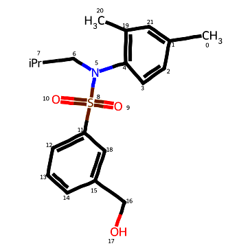 Cc1ccc(N(CC(C)C)S(=O)(=O)c2cccc(CO)c2)c(C)c1